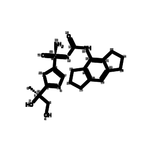 C[C@@](O)(CO)c1ncc([S@](N)(=O)=NC(=O)Nc2c3c(cc4c2CCC4)CCC3)s1